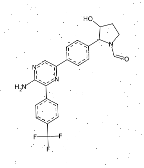 Nc1ncc(-c2ccc(C3C(O)CCN3C=O)cc2)nc1-c1ccc(C(F)(F)F)cc1